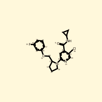 O=C(NC1CC1)c1cc(N2CCCC2COc2cccc(F)c2)ncc1Cl